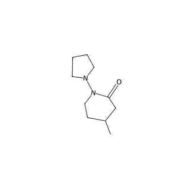 CC1CCN(N2CCCC2)C(=O)C1